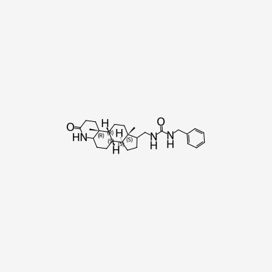 C[C@]12CCC(=O)NC1CC[C@@H]1[C@H]2CC[C@]2(C)C(CNC(=O)NCc3ccccc3)CC[C@@H]12